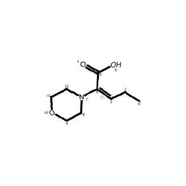 CC/C=C(\C(=O)O)N1CCOCC1